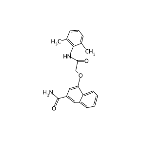 Cc1cccc(C)c1NC(=O)COc1cc(C(N)=O)cc2ccccc12